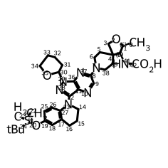 C[C@@H]1OCC2(CCN(c3cnc4c(N5CCCc6cc(O[Si](C)(C)C(C)(C)C)ccc65)nn(C5CCCCO5)c4n3)CC2)[C@@H]1NC(=O)O